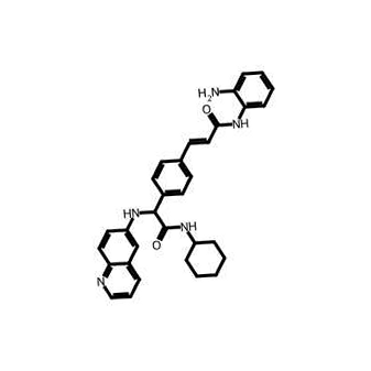 Nc1ccccc1NC(=O)C=Cc1ccc(C(Nc2ccc3ncccc3c2)C(=O)NC2CCCCC2)cc1